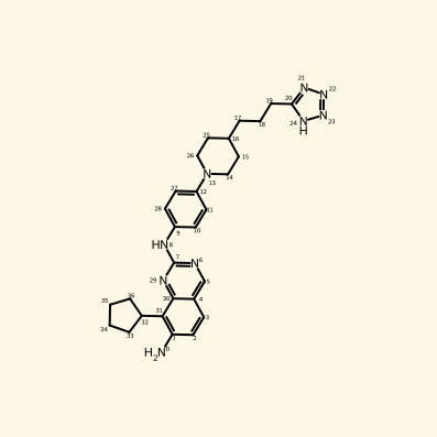 Nc1ccc2cnc(Nc3ccc(N4CCC(CCCc5nnn[nH]5)CC4)cc3)nc2c1C1CCCC1